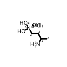 CC(N)CC[N+](O)(O)O.[Cl-]